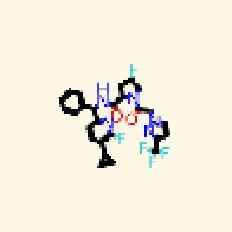 O=C(NC(c1ccccc1)c1ccc(C2CC2)c(F)n1)C1CC(F)CN1C(=O)Cn1ccc(C(F)(F)F)n1